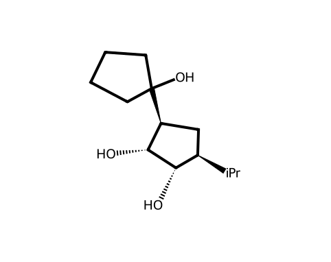 CC(C)[C@@H]1C[C@H](C2(O)CCCC2)[C@@H](O)[C@H]1O